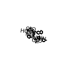 CC[C@H](C)[C@@H](C(=O)N[C@@H](Cc1ccccc1)[C@@H](O)CN(Cc1ccc2ccccc2c1)NC(=O)[C@@H](NC(=O)O)C(C)(C)C)N1CCN(Cc2cccc(C)n2)C1=O